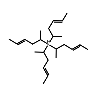 C/C=C/CC(C)[PH](C(C)C/C=C/C)(C(C)C/C=C/C)C(C)C/C=C/C